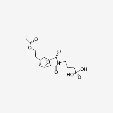 C=CC(=O)OCCC1=CC2OC1C1C(=O)N(CCCP(=O)(O)O)C(=O)C21